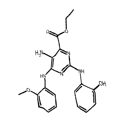 CCOC(=O)c1nc(Nc2ccccc2O)nc(Nc2ccccc2OC)c1N